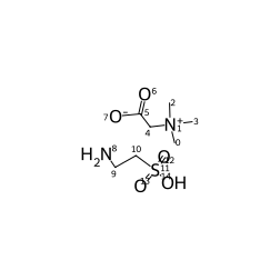 C[N+](C)(C)CC(=O)[O-].NCCS(=O)(=O)O